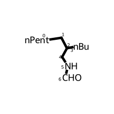 CCCCCCC(CCCC)CNC=O